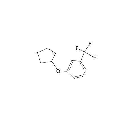 FC(F)(F)c1cccc(OC2C[CH]CC2)c1